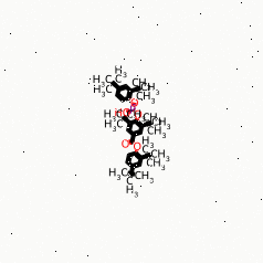 CC(C)(C)c1ccc(OC(=O)c2cc(C(C)(C)C)c(OP(O)Oc3ccc(C(C)(C)C)cc3C(C)(C)C)c(C(C)(C)C)c2)c(C(C)(C)C)c1